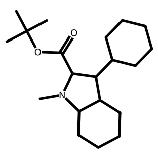 CN1C2CCCCC2C(C2CCCCC2)C1C(=O)OC(C)(C)C